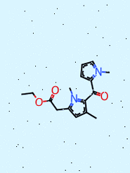 CCOC(=O)Cc1cc(C)c(C(=O)c2cccn2C)n1C